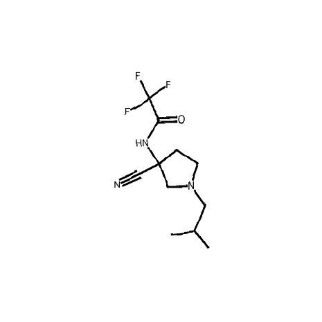 CC(C)CN1CCC(C#N)(NC(=O)C(F)(F)F)C1